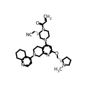 C=CC(=O)N1CCN(c2cc(OC[C@@H]3CCCN3C)nc3c2CCN(c2ccnc4c2CCCC4)C3)C[C@@H]1CC#N